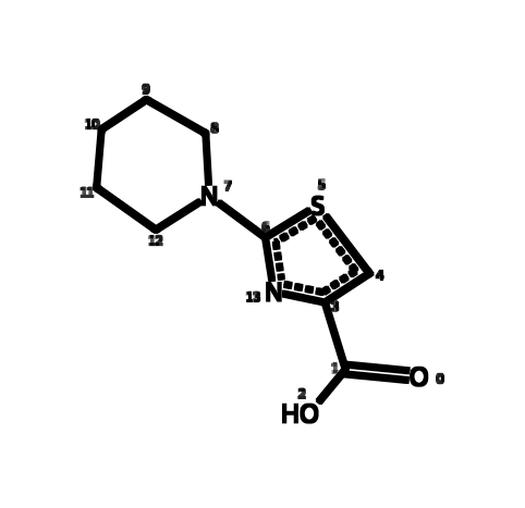 O=C(O)c1csc(N2CCCCC2)n1